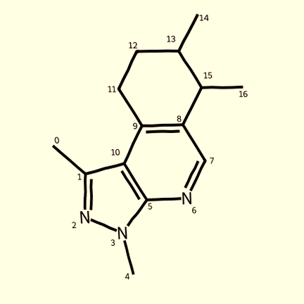 Cc1nn(C)c2ncc3c(c12)CCC(C)C3C